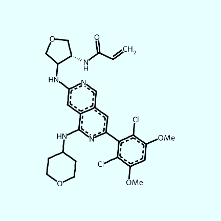 C=CC(=O)N[C@H]1COCC1Nc1cc2c(NC3CCOCC3)nc(-c3c(Cl)c(OC)cc(OC)c3Cl)cc2cn1